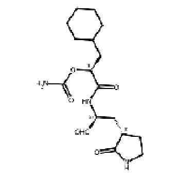 NC(=O)O[C@@H](CC1CCCCC1)C(=O)N[C@H](C=O)C[C@@H]1CCNC1=O